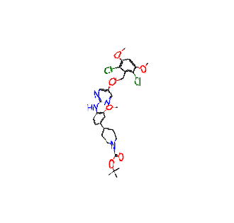 COc1cc(C2CCN(C(=O)OC(C)(C)C)CC2)ccc1Nc1ncc(OCc2c(Cl)c(OC)cc(OC)c2Cl)cn1